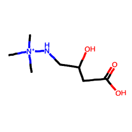 C[N+](C)(C)NCC(O)CC(=O)O